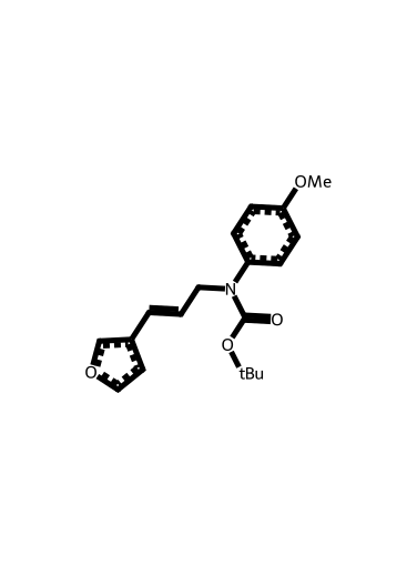 COc1ccc(N(C/C=C/c2ccoc2)C(=O)OC(C)(C)C)cc1